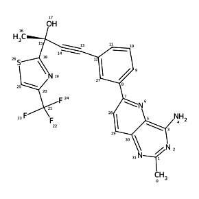 Cc1nc(N)c2nc(-c3cccc(C#C[C@@](C)(O)c4nc(C(F)(F)F)cs4)c3)ccc2n1